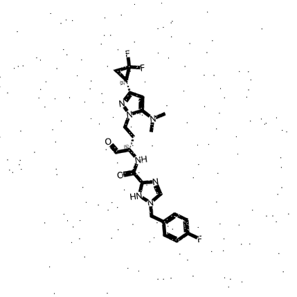 CN(C)c1cc([C@@H]2CC2(F)F)nn1CC[C@@H](C=O)NC(=O)C1N=CN(Cc2ccc(F)cc2)N1